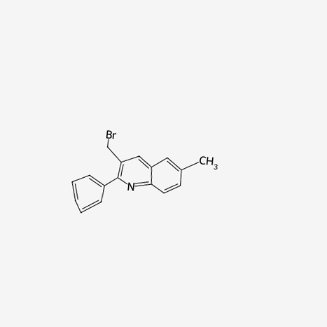 Cc1ccc2nc(-c3ccccc3)c(CBr)cc2c1